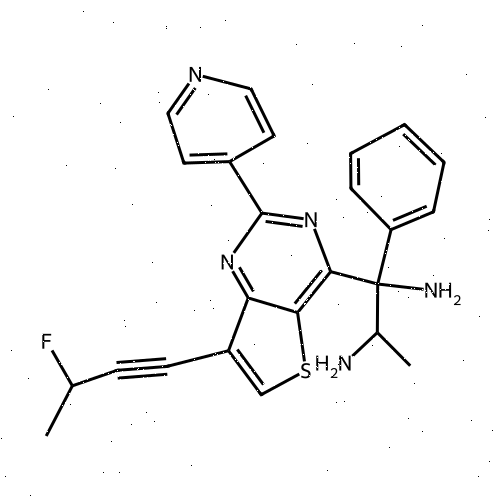 CC(F)C#Cc1csc2c(C(N)(c3ccccc3)C(C)N)nc(-c3ccncc3)nc12